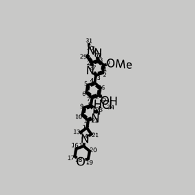 COc1cc(-c2ccc(-c3ccc(C4CN(C5CCOCC5)C4)nn3)c(O)c2)nc2cn(C)nc12.Cl